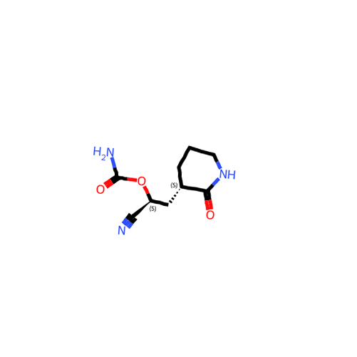 N#C[C@H](C[C@@H]1CCCNC1=O)OC(N)=O